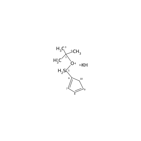 CC(C)(C)O[SiH2]C1=CC=CC1.[KH]